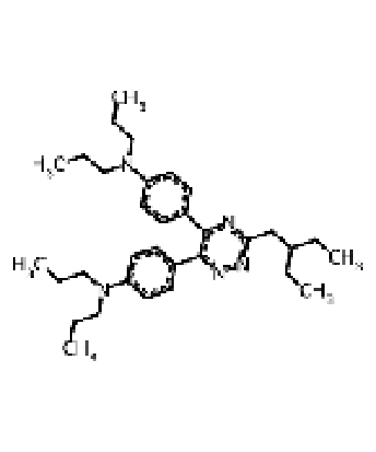 CCCN(CCC)c1ccc(-c2nnc(CC(CC)CC)nc2-c2ccc(N(CCC)CCC)cc2)cc1